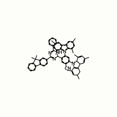 CC1=CC2C3=C(C(C)=CC(C)C3)N(c3cc(-n4c5c(C)cc(C)cc5c5cc(C)cc(C)c54)c(C4N=C(c5ccc6c(c5)C(C)(C)c5ccccc5-6)N=C(c5ccccc5)N4)cc3C#N)C2C(C)=C1